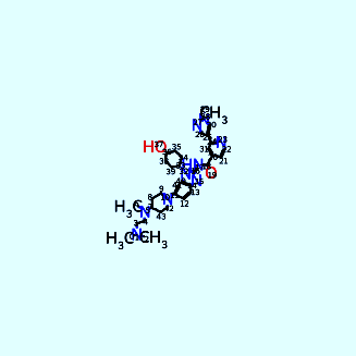 CN(C)CCN(C)C1CCN(c2ccc3nc(NC(=O)c4ccnc(-c5cnn(C)c5)c4)n([C@H]4CC[C@@H](O)CC4)c3c2)CC1